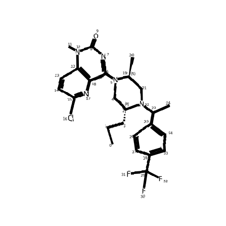 CCC[C@@H]1CN(c2nc(=O)n(C)c3ccc(Cl)nc23)[C@@H](C)CN1C(C)c1ccc(C(F)(F)F)cc1